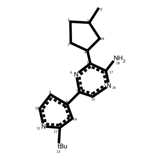 CC1CCC(c2nc(-c3ccnc(C(C)(C)C)c3)cnc2N)C1